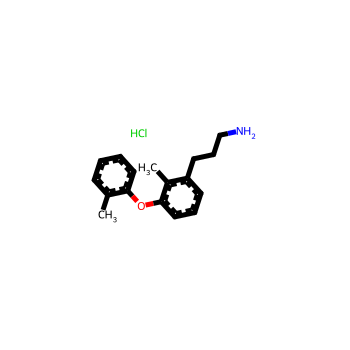 Cc1ccccc1Oc1cccc(CCCN)c1C.Cl